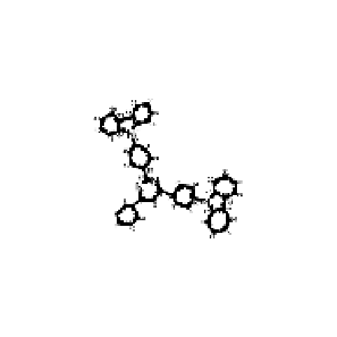 c1ccc(-c2cc(-c3ccc(-n4c5ccccc5c5ccccc54)cc3)nc(-c3ccc(-n4c5ccccc5c5ccccc54)cc3)n2)cc1